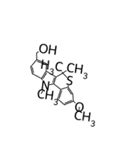 COc1ccc2c(c1)SC(C)(C)c1c-2n(C)c2ccc(CO)cc12